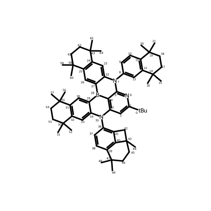 CC(C)(C)c1cc2c3c(n1)N(c1ccc4c(c1)C(C)(C)CCC4(C)C)c1cc4c(cc1B3c1cc3c(cc1N2c1ccc2c5c1CC5(C)CCC2(C)C)C(C)(C)CCC3(C)C)C(C)(C)CCC4(C)C